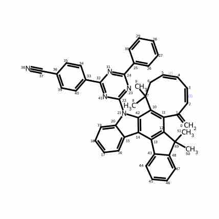 C=C1/C=C\C=C/CC(C)(C)c2c1c1c(c3c4ccccc4n(-c4nc(-c5ccccc5)nc(-c5ccc(C#N)cc5)n4)c23)-c2ccccc2C1(C)C